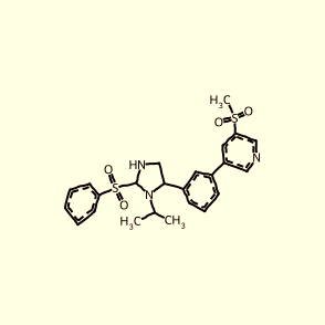 CC(C)N1C(c2cccc(-c3cncc(S(C)(=O)=O)c3)c2)CNC1S(=O)(=O)c1ccccc1